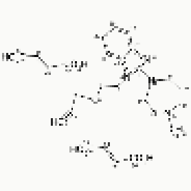 C#CCOCCn1c(N2CCCN(C)CC2)nc2ccccc21.O=C(O)C=CC(=O)O.O=C(O)C=CC(=O)O